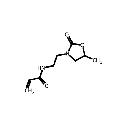 C=CC(=O)NCCN1CC(C)OC1=O